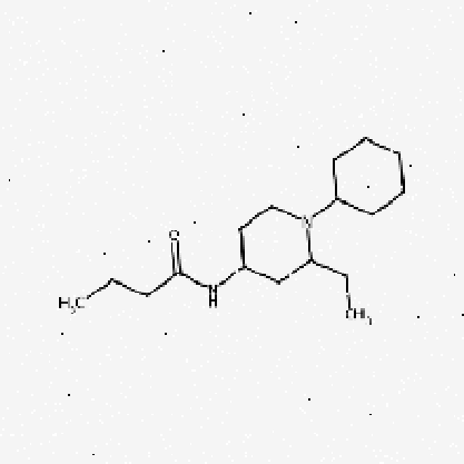 CCCC(=O)NC1CCN(C2CCCCC2)C(CC)C1